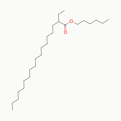 CCCCCCCCCCCCCCCCC(CC)C(=O)OCCCCCC